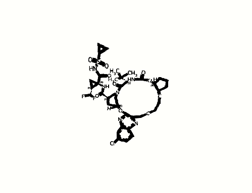 CC(C)(C)[C@@H]1NC(=O)O[C@@H]2CCCC2CCCCCc2nc3ccc(Cl)cc3nc2O[C@@H]2C[C@@H](C(=O)N[C@]3(C(=O)NS(=O)(=O)C4CC4)C[C@H]3C(F)F)N(C2)C1=O